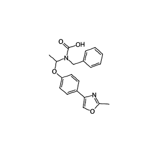 Cc1nc(-c2ccc(OC(C)N(Cc3ccccc3)C(=O)O)cc2)co1